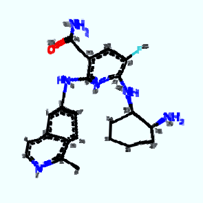 Cc1nccc2cc(Nc3nc(N[C@@H]4CCCC[C@@H]4N)c(F)cc3C(N)=O)ccc12